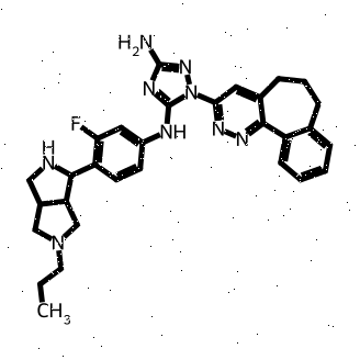 CCCN1CC2CNC(c3ccc(Nc4nc(N)nn4-c4cc5c(nn4)-c4ccccc4CCC5)cc3F)C2C1